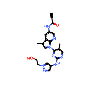 C#CC(=O)Nc1cnc2c(c1)c(C)cn2-c1nc(Nc2cnn(CCO)c2)ncc1C